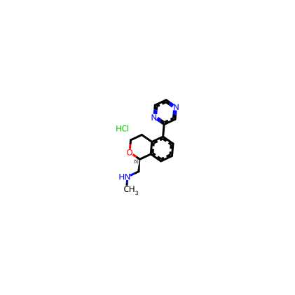 CNC[C@H]1OCCc2c(-c3cnccn3)cccc21.Cl